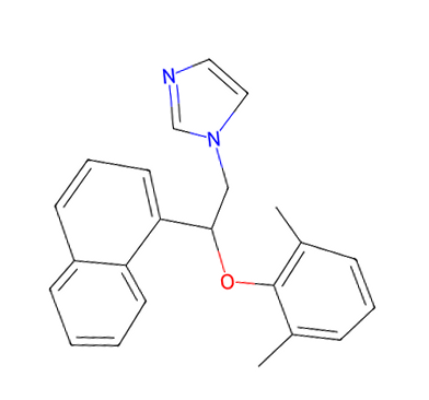 Cc1cccc(C)c1OC(Cn1ccnc1)c1cccc2ccccc12